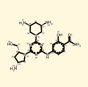 NC(=O)c1ccc(Nc2nc(N3C[C@H](N)C[C@H](N)C3)nc(N3C[C@H](N)C[C@@H]3CO)n2)cc1O